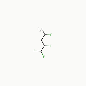 FC(F)C(F)CC(F)C(F)(F)F